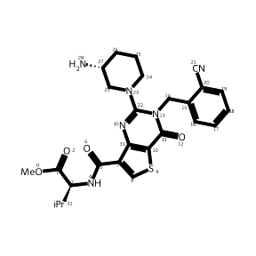 COC(=O)[C@@H](NC(=O)c1csc2c(=O)n(Cc3ccccc3C#N)c(N3CCC[C@@H](N)C3)nc12)C(C)C